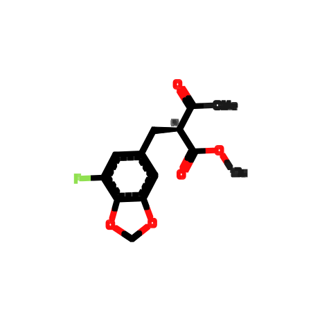 COC(=O)[C@H](Cc1cc(F)c2c(c1)OCO2)C(=O)OC(C)(C)C